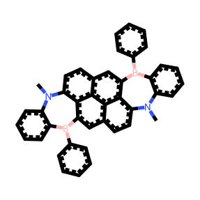 CN1c2ccccc2B(c2ccccc2)c2cc3ccc4c5c(cc6ccc1c2c6c35)B(c1ccccc1)c1ccccc1N4C